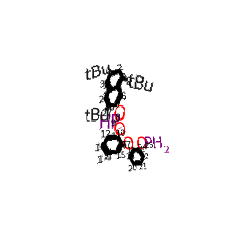 CC(C)(C)c1cc(C(C)(C)C)c2cc(OPOc3ccccc3Oc3ccccc3OP)c(C(C)(C)C)cc2c1